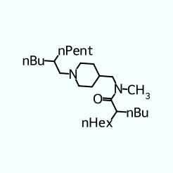 CCCCCCC(CCCC)C(=O)N(C)CC1CCN(CC(CCCC)CCCCC)CC1